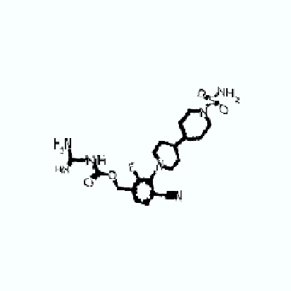 N#Cc1ccc(COC(=O)NC(=N)N)c(F)c1N1CCC(C2CCN(S(N)(=O)=O)CC2)CC1